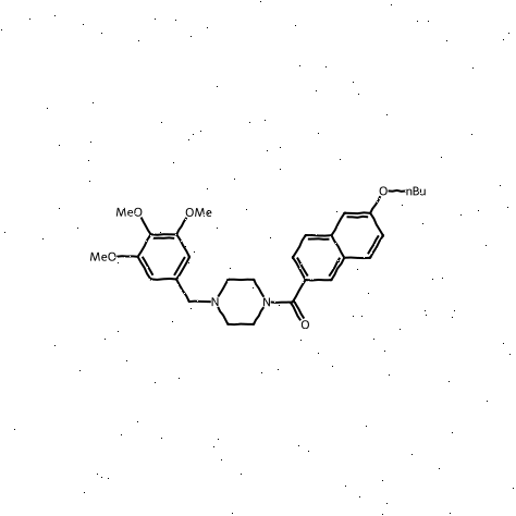 CCCCOc1ccc2cc(C(=O)N3CCN(Cc4cc(OC)c(OC)c(OC)c4)CC3)ccc2c1